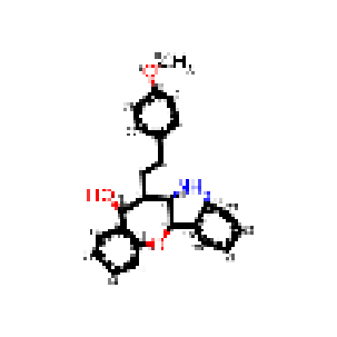 COc1ccc(CCC2C(O)c3ccccc3OC(c3ccccc3)C2N)cc1